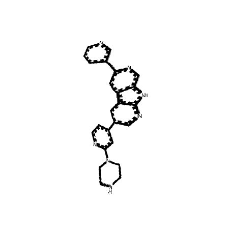 c1cncc(-c2cc3c(cn2)[nH]c2ncc(-c4ccnc(N5CCNCC5)c4)cc23)c1